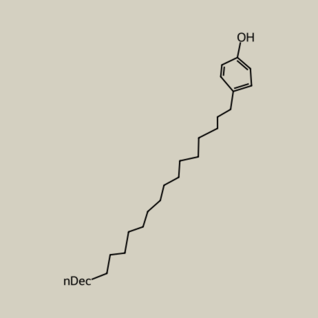 CCCCCCCCCCCCCCCCCCCCCCCCCc1ccc(O)cc1